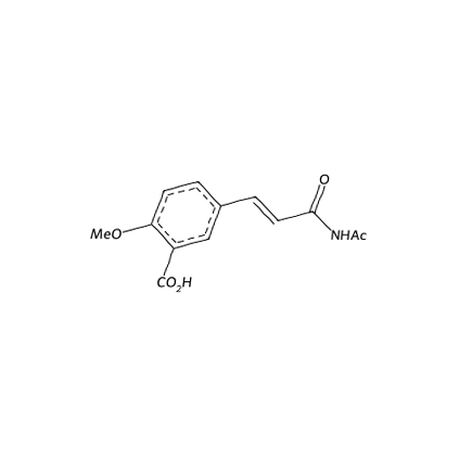 COc1ccc(C=CC(=O)NC(C)=O)cc1C(=O)O